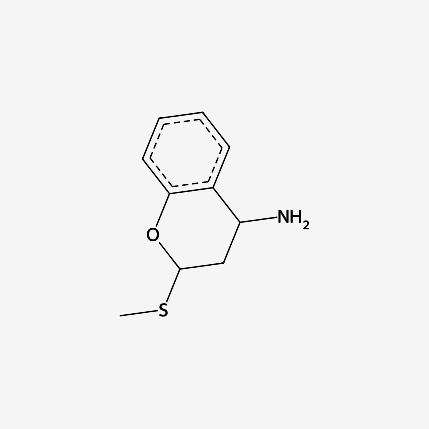 CSC1CC(N)c2ccccc2O1